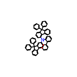 c1ccc(-c2ccccc2N(c2ccc3c(c2)C(c2ccccc2)(c2ccccc2)c2ccccc2-3)c2cccc3c2-c2ccccc2C3(c2ccccc2)c2ccccc2)cc1